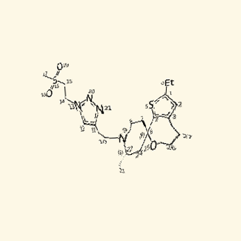 CCc1cc2c(s1)[C@]1(CCN(Cc3cn(CCS(C)(=O)=O)nn3)[C@@H](C)C1)OCC2